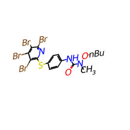 CCCCON(C)C(=O)Nc1ccc(Sc2nc(Br)c(Br)c(Br)c2Br)cc1